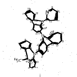 C=C(C)c1ccccc1N(c1ccc2c3ccccc3n(-c3ccc4c5ccccc5n(-c5ccccn5)c4c3)c2c1)c1ccccn1